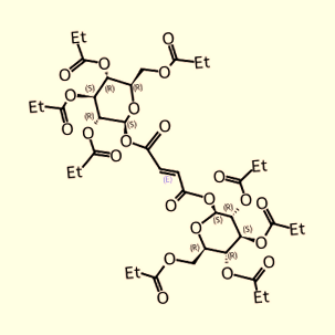 CCC(=O)OC[C@H]1O[C@@H](OC(=O)/C=C/C(=O)O[C@@H]2O[C@H](COC(=O)CC)[C@@H](OC(=O)CC)[C@H](OC(=O)CC)[C@H]2OC(=O)CC)[C@H](OC(=O)CC)[C@@H](OC(=O)CC)[C@@H]1OC(=O)CC